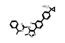 CC(OC(=O)Nc1c(-c2ccc(-c3ccc(C4(C(=O)O)CC4)cc3)cc2F)nnn1C)c1ccccc1